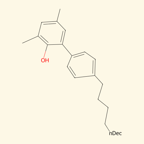 CCCCCCCCCCCCCCc1ccc(-c2cc(C)cc(C)c2O)cc1